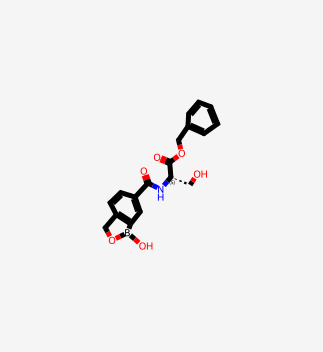 O=C(N[C@@H](CO)C(=O)OCc1ccccc1)c1ccc2c(c1)B(O)OC2